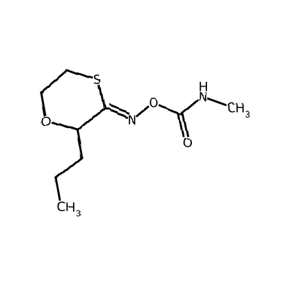 CCCC1OCCSC1=NOC(=O)NC